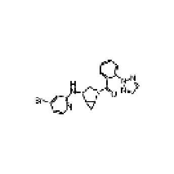 O=C(c1ccccc1-n1nccn1)N1C[C@H](Nc2cc(Br)ccn2)C2CC21